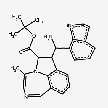 CC1=CN=Cc2cccc3c2N1C(C(=O)OC(C)(C)C)C3C(N)c1cccc2cc[nH]c12